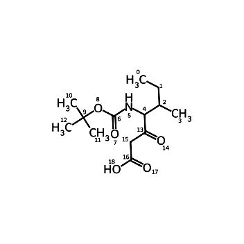 CCC(C)C(NC(=O)OC(C)(C)C)C(=O)CC(=O)O